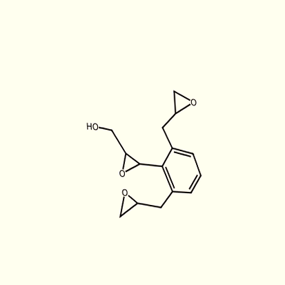 OCC1OC1c1c(CC2CO2)cccc1CC1CO1